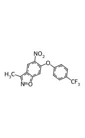 Cc1noc2cc(Oc3ccc(C(F)(F)F)cc3)c([N+](=O)[O-])cc12